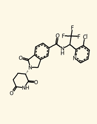 O=C1CC[C@H](N2Cc3cc(C(=O)NC(c4ncccc4Cl)C(F)(F)F)ccc3C2=O)C(=O)N1